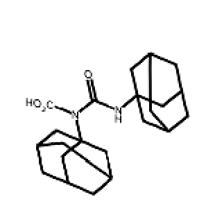 O=C(O)N(C(=O)NC12CC3CC(CC(C3)C1)C2)C12CC3CC(CC(C3)C1)C2